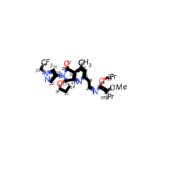 CO/C(=C(/N=C\Cc1cc(C)c2c(n1)[C@]1(CCCO1)N(c1cnn(CC(F)(F)F)c1)C2=O)OC(C)C)C(C)C